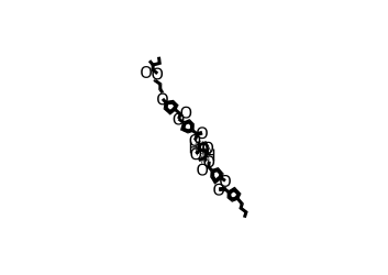 CCCCc1ccc(C(=O)Oc2ccc(C(=O)O[C@@H]3CO[C@H]4[C@@H]3OC[C@@H]4OC(=O)c3ccc(OC(=O)c4ccc(OCCCCOC(=O)C(C)CC)cc4)cc3)cc2)cc1